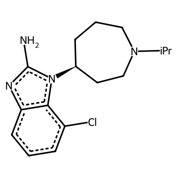 CC(C)N1CCC[C@H](n2c(N)nc3cccc(Cl)c32)CC1